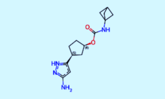 Nc1cc([C@H]2CC[C@@H](OC(=O)NC34CC(C3)C4)C2)[nH]n1